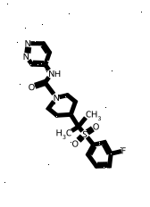 CC(C)(C1CCN(C(=O)Nc2ccnnc2)CC1)S(=O)(=O)c1cccc(F)c1